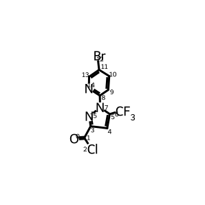 O=C(Cl)c1cc(C(F)(F)F)n(-c2ccc(Br)cn2)n1